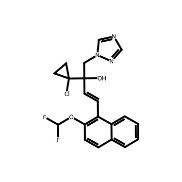 OC(C=Cc1c(OC(F)F)ccc2ccccc12)(Cn1cncn1)C1(Cl)CC1